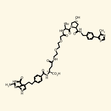 Cc1ncsc1-c1ccc(CNC(=O)C2C[C@@H](O)CN2C(=O)C(NC(=O)COCCOCCNC(=O)CC[C@H](NC(=O)c2ccc(CCc3c[nH]c4nc(N)[nH]c(=O)c34)cc2)C(=O)O)C(C)(C)C)cc1